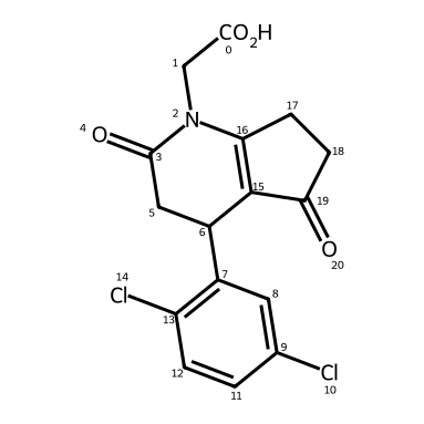 O=C(O)CN1C(=O)CC(c2cc(Cl)ccc2Cl)C2=C1CCC2=O